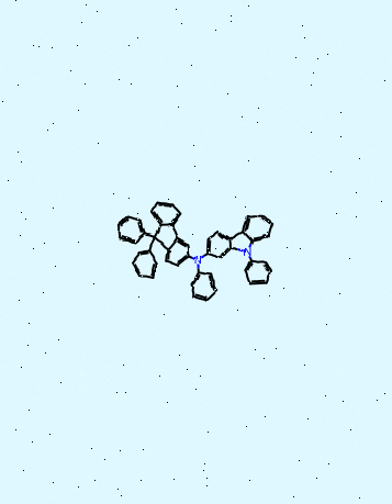 c1ccc(N(c2ccc3c(c2)-c2ccccc2C3(c2ccccc2)c2ccccc2)c2ccc3c4ccccc4n(-c4ccccc4)c3c2)cc1